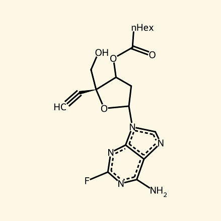 C#C[C@]1(CO)OC(n2cnc3c(N)nc(F)nc32)CC1OC(=O)CCCCCC